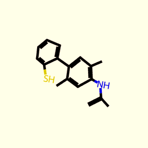 C=C(C)Nc1cc(C)c(-c2ccccc2S)cc1C